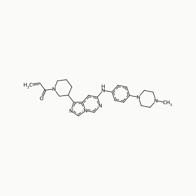 C=CC(=O)N1CCCC(c2ncn3cnc(Nc4ccc(N5CCN(C)CC5)cc4)cc23)C1